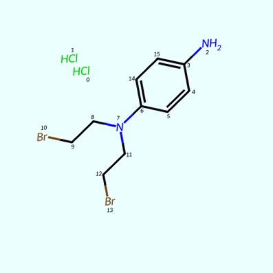 Cl.Cl.Nc1ccc(N(CCBr)CCBr)cc1